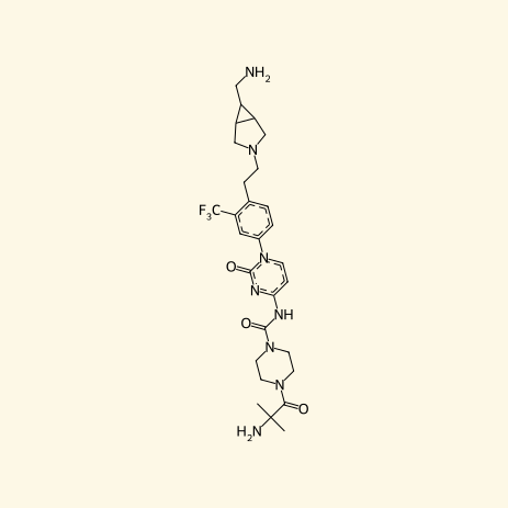 CC(C)(N)C(=O)N1CCN(C(=O)Nc2ccn(-c3ccc(CCN4CC5C(CN)C5C4)c(C(F)(F)F)c3)c(=O)n2)CC1